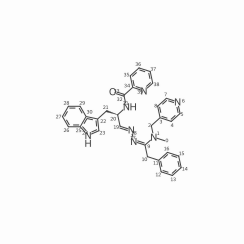 CN(Cc1ccncc1)/C(Cc1ccccc1)=N\N=C\[C@@H](Cc1c[nH]c2ccccc12)NC(=O)c1ccccn1